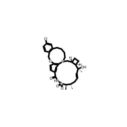 C[C@@H]1[C@@H](C)C/C=C/[C@](C)(O)[C@@H]2CC[C@H]2CN2CCCCc3cc(Cl)ccc3COc3ccc(cc32)C(=O)NS1(=O)=O